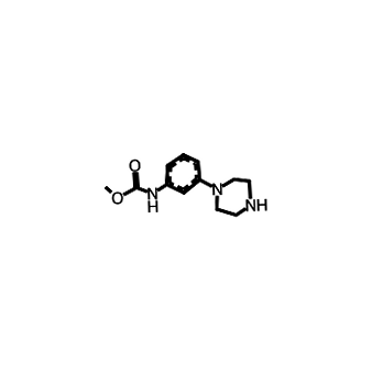 COC(=O)Nc1cccc(N2CCNCC2)c1